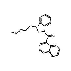 C=CCCCn1cc(C(=O)c2cccc3ccccc23)c2ccccc21